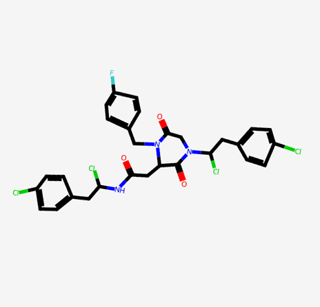 O=C(CC1C(=O)N(C(Cl)Cc2ccc(Cl)cc2)CC(=O)N1Cc1ccc(F)cc1)NC(Cl)Cc1ccc(Cl)cc1